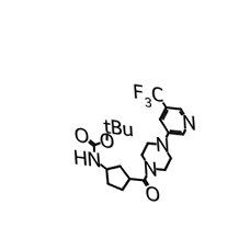 CC(C)(C)OC(=O)NC1CCC(C(=O)N2CCN(c3cncc(C(F)(F)F)c3)CC2)C1